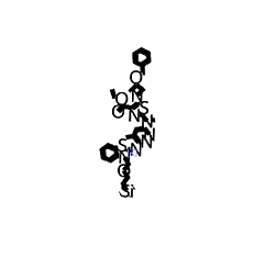 CCOC(=O)c1nc(N(C)c2cc(C)c(/N=c3\sc4ccccc4n3COCC[Si](C)(C)C)nn2)sc1N1CC(OCc2ccccc2)C1